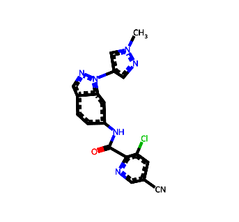 Cn1cc(-n2ncc3ccc(NC(=O)c4ncc(C#N)cc4Cl)cc32)cn1